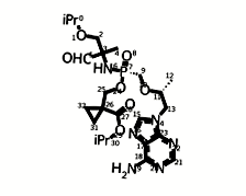 CC(C)OCC(C)(C=O)N[P@](=O)(CO[C@H](C)Cn1cnc2c(N)ncnc21)OCC1(C(=O)OC(C)C)CC1